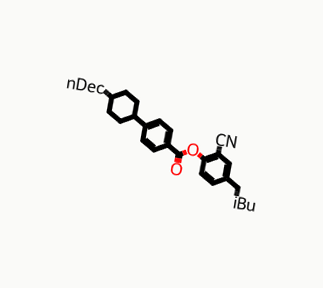 CCCCCCCCCCC1CCC(c2ccc(C(=O)Oc3ccc(CC(C)CC)cc3C#N)cc2)CC1